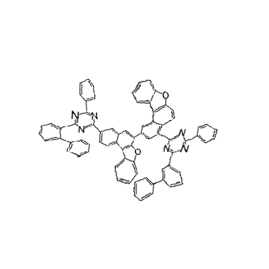 c1ccc(-c2cccc(-c3nc(-c4ccccc4)nc(-c4cc(-c5cc6cc(-c7nc(-c8ccccc8)nc(-c8ccccc8-c8ccccc8)n7)ccc6c6c5oc5ccccc56)cc5c4ccc4oc6ccccc6c45)n3)c2)cc1